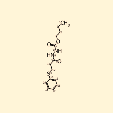 CCCCOC(=O)NNC(=O)CCSc1ccccc1